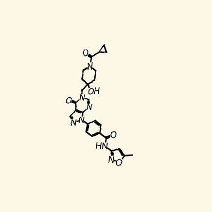 Cc1cc(NC(=O)c2ccc(-n3ncc4c(=O)n(CC5(O)CCN(C(=O)C6CC6)CC5)cnc43)cc2)no1